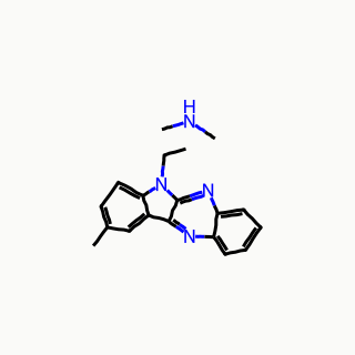 CCn1c2ccc(C)cc2c2nc3ccccc3nc21.CNC